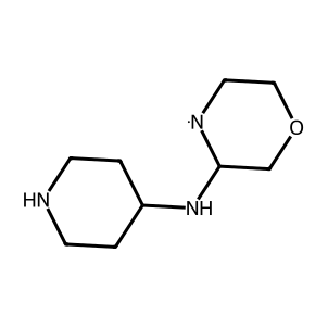 C1COCC(NC2CCNCC2)[N]1